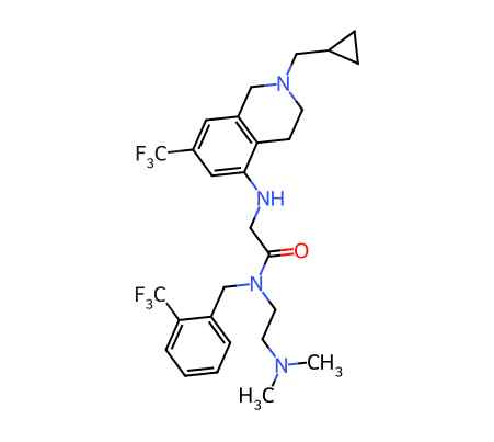 CN(C)CCN(Cc1ccccc1C(F)(F)F)C(=O)CNc1cc(C(F)(F)F)cc2c1CCN(CC1CC1)C2